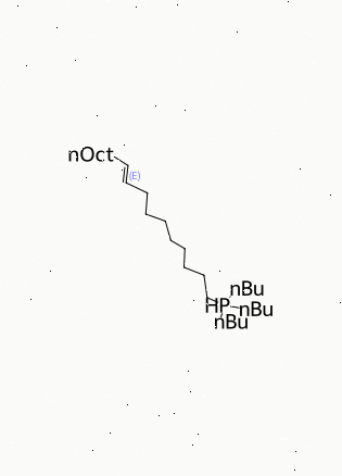 CCCCCCCC/C=C/CCCCCCCC[PH](CCCC)(CCCC)CCCC